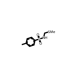 CSCNS(=O)(=O)c1ccc(C)cc1